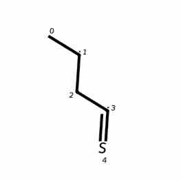 C[CH]C[C]=S